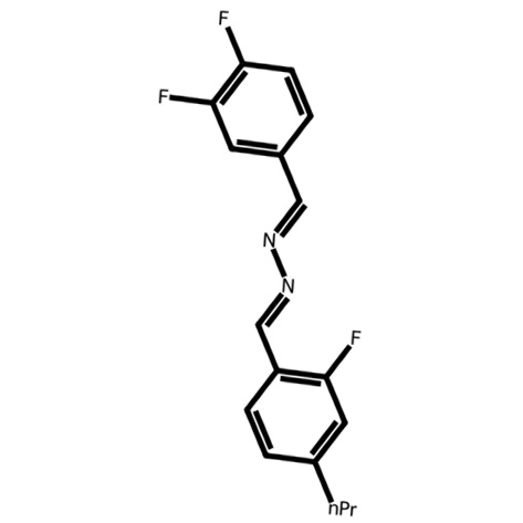 CCCc1ccc(/C=N/N=C/c2ccc(F)c(F)c2)c(F)c1